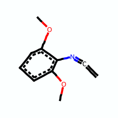 C=C=Nc1c(OC)cccc1OC